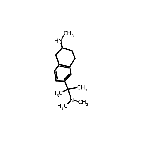 CNC1CCc2cc(C(C)(C)N(C)C)ccc2C1